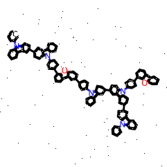 c1ccc(-n2c3ccccc3c3cc(-c4ccc5c(c4)c4ccccc4n5-c4ccc(-c5cccc6c5oc5ccc(-c7ccc(-n8c9ccccc9c9cc(-c%10ccc%11c(c%10)c%10cc(-c%12ccc%13c(c%12)c%12ccccc%12n%13-c%12ccccc%12)ccc%10n%11-c%10ccc(-c%11cccc%12c%11oc%11ccccc%11%12)cc%10)ccc98)cc7)cc56)cc4)ccc32)cc1